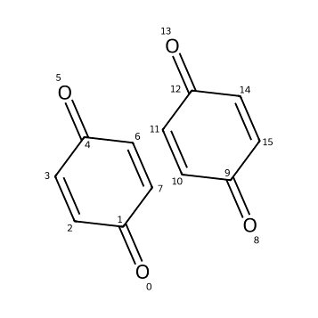 O=C1C=CC(=O)C=C1.O=C1C=CC(=O)C=C1